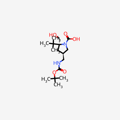 CC(C)(C)OC(=O)NC[C@@H]1CN(C(=O)O)[C@](CO)(C(C)(C)C)C1